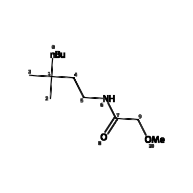 CCCCC(C)(C)CCNC(=O)COC